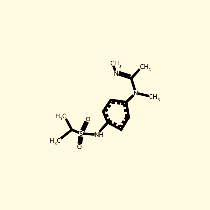 CN=C(C)N(C)c1ccc(NS(=O)(=O)C(C)C)cc1